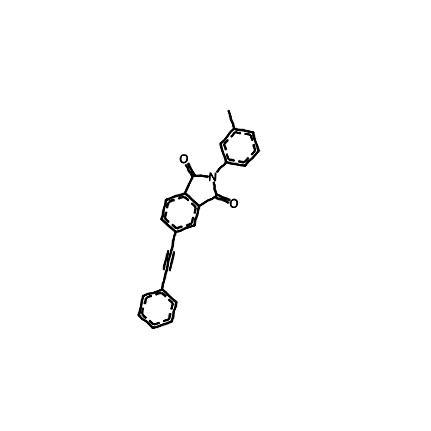 Cc1cccc(N2C(=O)c3ccc(C#Cc4ccccc4)cc3C2=O)c1